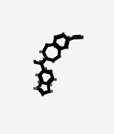 CC(C)COc1ccc2c(c1)CCN(C(C)c1ccc3scnc3c1)CC2